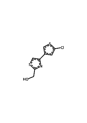 OCc1nc(-c2csc(Cl)c2)cs1